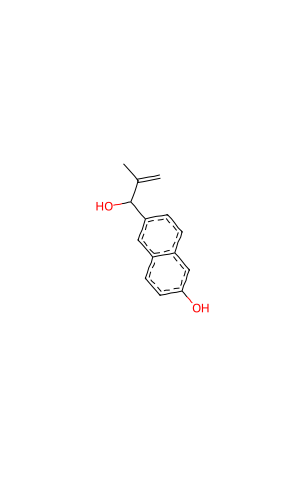 C=C(C)C(O)c1ccc2cc(O)ccc2c1